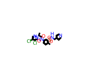 Cc1ccc(NC(=O)C(C)n2ncc(Cl)c(Cl)c2=O)cc1S(=O)(=O)NCc1ccncc1